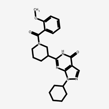 COc1ccccc1C(=O)N1CCCC(c2nc3c(cnn3C3CCCCC3)c(=O)[nH]2)C1